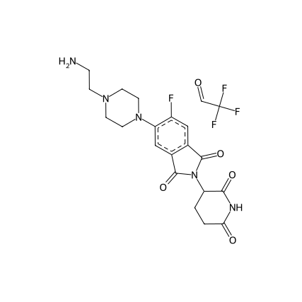 NCCN1CCN(c2cc3c(cc2F)C(=O)N(C2CCC(=O)NC2=O)C3=O)CC1.O=CC(F)(F)F